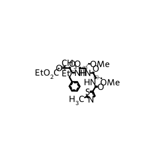 CCOC(=O)O[C@](C)(CC)C(=O)[C@H](Cc1ccccc1)NC(=O)[C@H](COC)NC(=O)[C@H](COC)NC(=O)c1cnc(C)s1